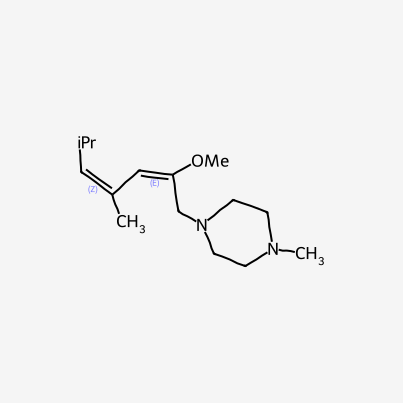 CO/C(=C/C(C)=C\C(C)C)CN1CCN(C)CC1